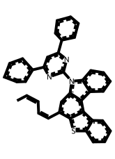 C/C=C\C=C/c1cc2c(c3ccccc3n2-c2nc(-c3ccccc3)cc(-c3ccccc3)n2)c2c1sc1ccccc12